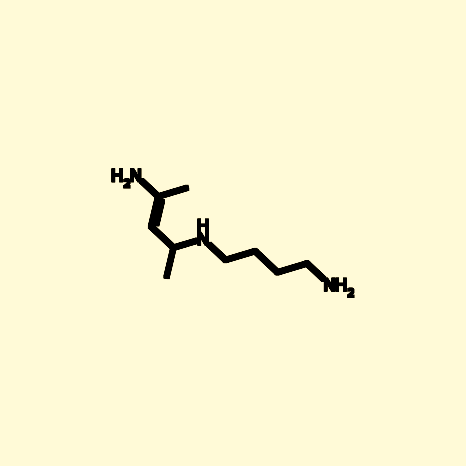 C/C(N)=C\C(C)NCCCCN